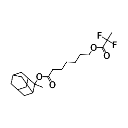 CC(F)(F)C(=O)OCCCCCCC(=O)OC1(C)C2CC3CC(C2)CC1C3